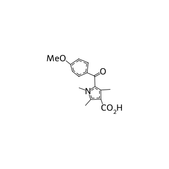 COc1ccc(C(=O)c2c(C)c(C(=O)O)c(C)n2C)cc1